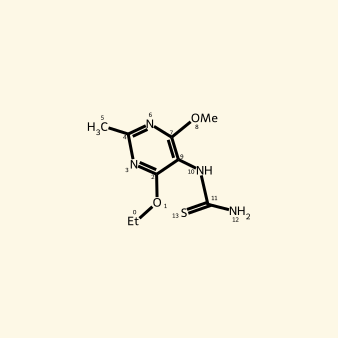 CCOc1nc(C)nc(OC)c1NC(N)=S